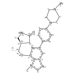 CC(C)N1CCN(c2ccc(-c3cc4ncn(C)c4c(O[C@H](C)[C@H]4CNC(=O)C4)n3)cc2)CC1